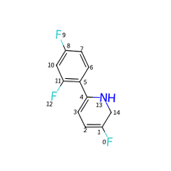 FC1=CC=C(c2ccc(F)cc2F)NC1